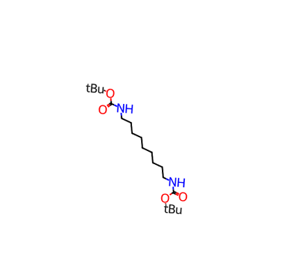 CC(C)(C)OC(=O)NCCCCCCCCCNC(=O)OC(C)(C)C